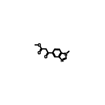 COC(=O)CC(=O)c1ccc2c(c1)ncn2C